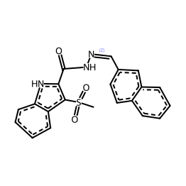 CS(=O)(=O)c1c(C(=O)N/N=C\c2ccc3ccccc3c2)[nH]c2ccccc12